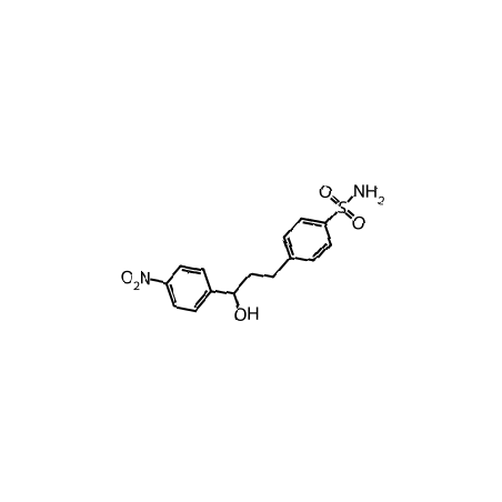 NS(=O)(=O)c1ccc(CCC(O)c2ccc([N+](=O)[O-])cc2)cc1